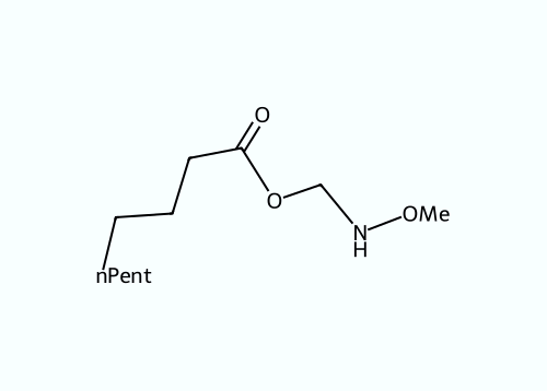 CCCCCCCCC(=O)OCNOC